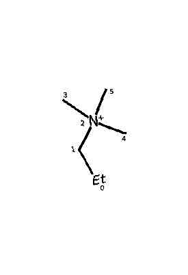 CCC[N+](C)(C)C